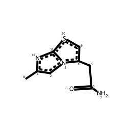 Cc1cn2c(CC(N)=O)csc2n1